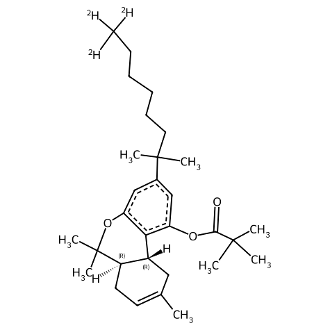 [2H]C([2H])([2H])CCCCCC(C)(C)c1cc(OC(=O)C(C)(C)C)c2c(c1)OC(C)(C)[C@@H]1CC=C(C)C[C@@H]21